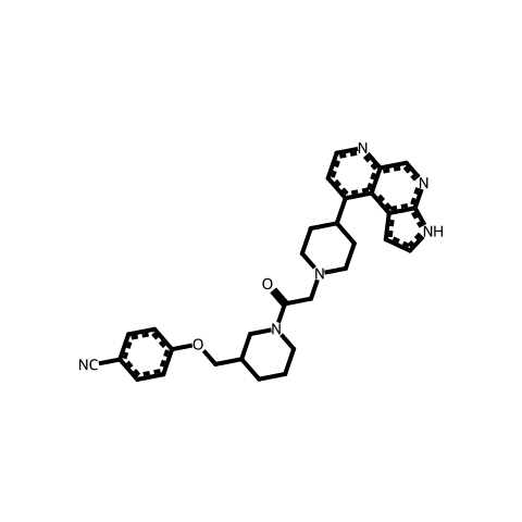 N#Cc1ccc(OCC2CCCN(C(=O)CN3CCC(c4ccnc5cnc6[nH]ccc6c45)CC3)C2)cc1